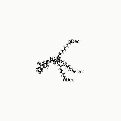 CCCCCCCCCCCCCCCCCCOCC(COCCCCCCCCCCCCCCCCCC)(COCCCCCCCCCCCCCCCCCC)NC(=O)CCOc1ccc2c(c1)C(=O)c1ccccc1-2